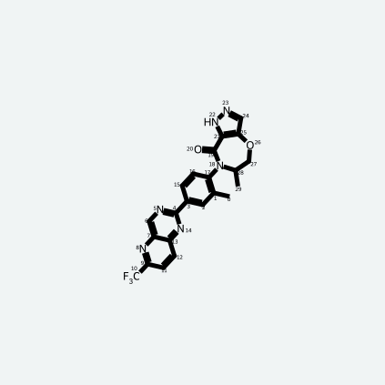 Cc1cc(-c2ncc3nc(C(F)(F)F)ccc3n2)ccc1N1C(=O)c2[nH]ncc2OCC1C